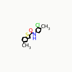 Cc1ccc2sc(C(=O)Nc3ccc(C)c(Cl)c3)cc2c1